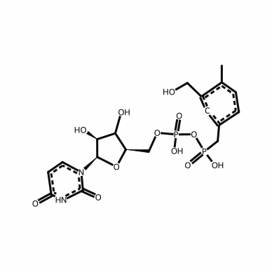 Cc1ccc(CP(=O)(O)OP(=O)(O)OC[C@H]2O[C@@H](n3ccc(=O)[nH]c3=O)[C@@H](O)C2O)cc1CO